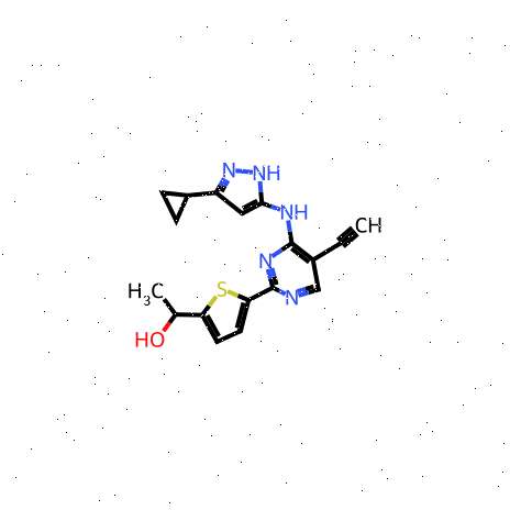 C#Cc1cnc(-c2ccc(C(C)O)s2)nc1Nc1cc(C2CC2)n[nH]1